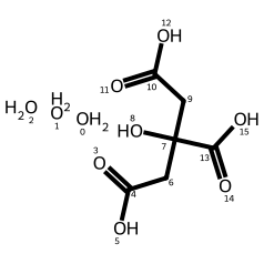 O.O.O.O=C(O)CC(O)(CC(=O)O)C(=O)O